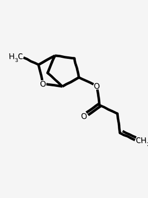 C=CCC(=O)OC1CC2CC1OC2C